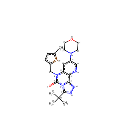 Cc1ccc(Cn2c(=O)n3c(C(C)(C)C)nnc3c3ncc(N4CCOCC4)cc32)s1